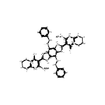 COc1nc2n(c(=O)c1=C1Sc3c(OCc4ccccc4)c4c(c(OCc5ccccc5)c3S1)SC(=c1c(OC)nc3n(c1=O)CCCN=3)S4)CCCN=2